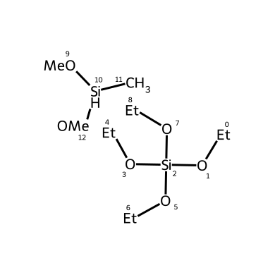 CCO[Si](OCC)(OCC)OCC.CO[SiH](C)OC